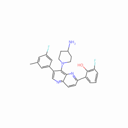 Cc1cc(F)cc(-c2cnc3ccc(-c4cccc(F)c4O)nc3c2N2CCC(N)CC2)c1